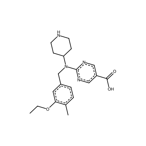 CCOc1cc(CN(c2ncc(C(=O)O)cn2)C2CCNCC2)ccc1C